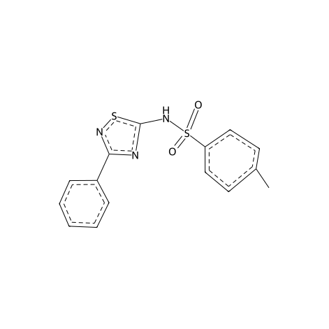 Cc1ccc(S(=O)(=O)Nc2nc(-c3ccccc3)ns2)cc1